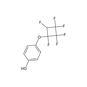 Oc1ccc(OC2(F)C(F)C(F)(F)C2(F)F)cc1